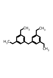 CCc1cc([CH]c2cc(CC)cc(CC)c2)cc(CC)c1